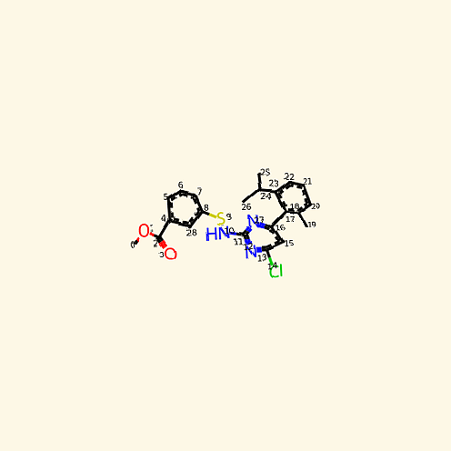 COC(=O)c1cccc(SNc2nc(Cl)cc(-c3c(C)cccc3C(C)C)n2)c1